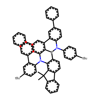 CC(C)(C)c1ccc(N2B3c4ccc5c(c4N(c4ccc(C(C)(C)C)cc4-c4ccccc4)c4cc(-c6ccccc6)cc(c43)-c3cc(-c4ccccc4)ccc32)C(C)(C)c2ccccc2-5)cc1